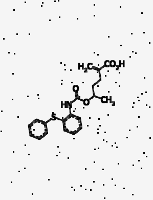 C=C(CCC(C)OC(=O)Nc1ccccc1Sc1ccccc1)C(=O)O